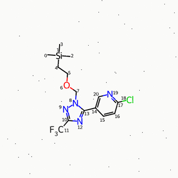 C[Si](C)(C)CCOCn1nc(C(F)(F)F)nc1-c1ccc(Cl)nc1